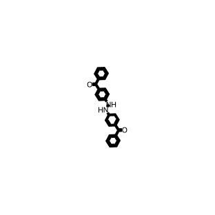 O=C(C1=CCC(NNc2ccc(C(=O)c3ccccc3)cc2)C=C1)c1ccccc1